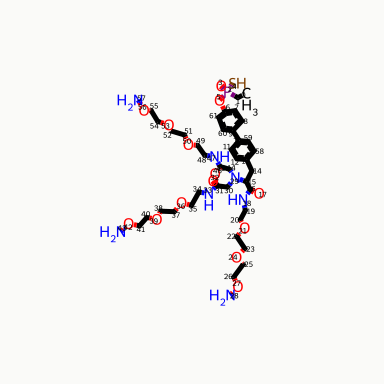 CCP(=O)(S)Oc1ccc(-c2ccc(CC(C(=O)NCCOCCOCCON)N(CC(=O)NCCOCCOCCON)CC(=O)NCCOCCOCCON)cc2)cc1